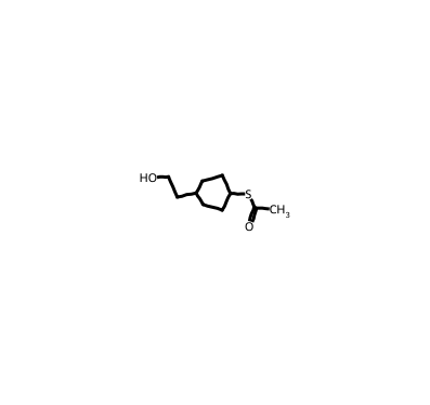 CC(=O)SC1CCC(CCO)CC1